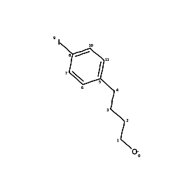 [O]CCCCc1ccc(I)cc1